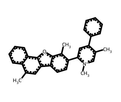 Cc1c[n+](C)c(-c2ccc3c(oc4c5ccccc5c(C)cc34)c2C)cc1-c1ccccc1